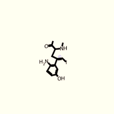 CNC(C/C(=C/I)c1cc(O)ccc1N)C(C)=O